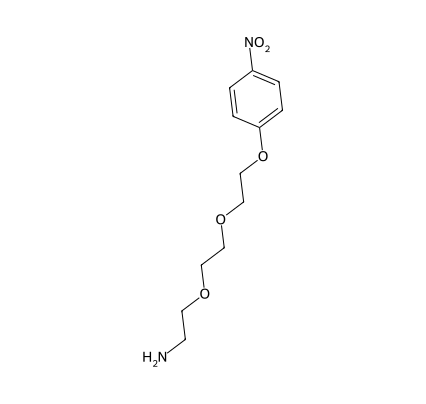 NCCOCCOCCOc1ccc([N+](=O)[O-])cc1